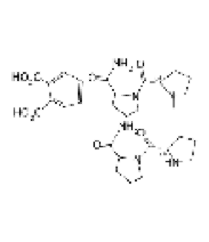 NC(=O)C1CCCN1C(=O)[C@@H]1CCCN1.NC(=O)C1CCCN1C(=O)[C@@H]1CCCN1.O=C(O)c1ccccc1C(=O)O